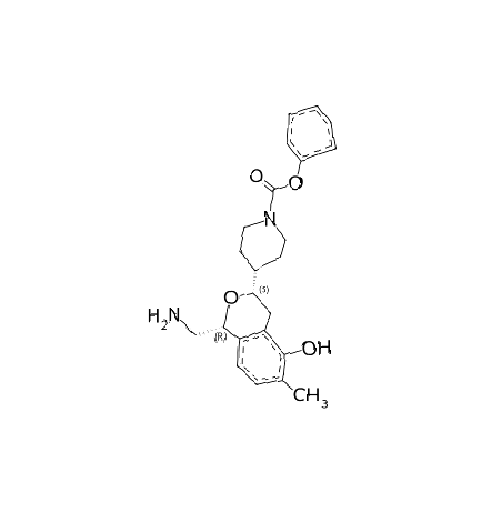 Cc1ccc2c(c1O)C[C@@H](C1CCN(C(=O)Oc3ccccc3)CC1)O[C@H]2CN